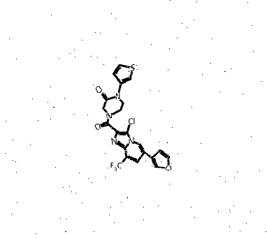 O=C(c1nc2c(C(F)(F)F)cc(-c3ccoc3)cn2c1Cl)N1CCN(c2ccsc2)C(=O)C1